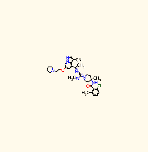 C=N/C(=C\N=C(/C)c1cc(OCCN2CCCC2)cn2ncc(C#N)c12)N1CCC(C)(NC(=O)c2c(C)cccc2Cl)CC1